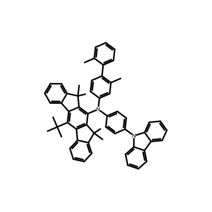 Cc1ccccc1-c1ccc(N(c2ccc(-n3c4ccccc4c4ccccc43)cc2)c2c3c(c(C(C)(C)C)c4c2C(C)(C)c2ccccc2-4)-c2ccccc2C3(C)C)cc1C